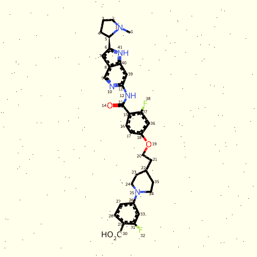 CN1CCC[C@@H]1c1cc2cnc(NC(=O)c3ccc(OCCC4CCN(c5ccc(C(=O)O)c(F)c5)CC4)cc3F)cc2[nH]1